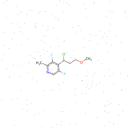 COCCC(Cl)c1c(F)cnc(C)c1F